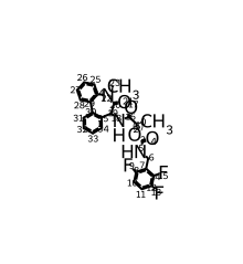 C[C@H](OC(=O)NCc1c(F)ccc(F)c1F)C(=O)NC1C(=O)N(C)c2ccccc2-c2ccccc21